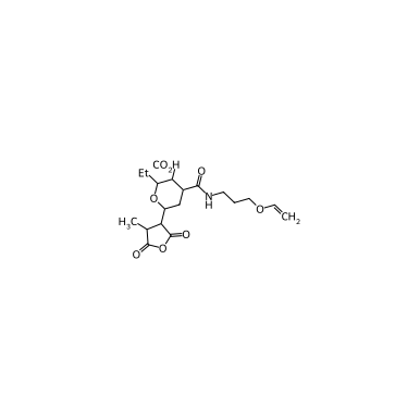 C=COCCCNC(=O)C1CC(C2C(=O)OC(=O)C2C)OC(CC)C1C(=O)O